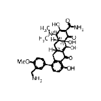 COc1ccc(-c2ccc(O)c3c2C[C@@H]2C[C@@H]4[C@@H](N(C)C)C(O)=C(C(N)=O)C(=O)[C@]4(O)C(O)=C2C3=O)cc1CN